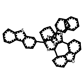 c1ccc(-c2nc(-c3ccc4c(c3)sc3ccccc34)nc(-c3cccc4oc5cccc(-c6nc7ccccc7n6-c6ccccc6)c5c34)n2)cc1